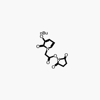 CCCCOc1cccn(CC(=O)ON2C(=O)CCC2=O)c1=O